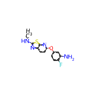 CNc1nc2ccc(Oc3ccc(F)c(N)c3)nc2s1